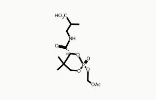 CC(=O)OCOP1(=O)OCC(C)(C)[C@H](C(=O)NCC(C)C(=O)O)O1